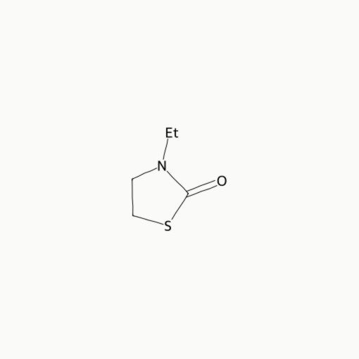 CCN1CCSC1=O